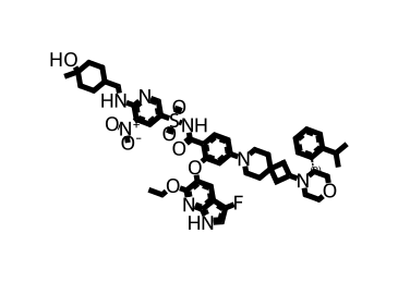 CCOc1nc2[nH]cc(F)c2cc1Oc1cc(N2CCC3(CC2)CC(N2CCOC[C@H]2c2ccccc2C(C)C)C3)ccc1C(=O)NS(=O)(=O)c1cnc(NCC2CCC(C)(O)CC2)c([N+](=O)[O-])c1